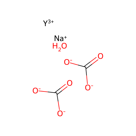 O.O=C([O-])[O-].O=C([O-])[O-].[Na+].[Y+3]